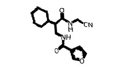 N#CCNC(=O)C(CNC(=O)c1ccoc1)C1CCCCC1